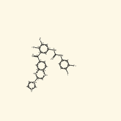 O=C(Nc1ccc(F)c(F)c1)Nc1cc(F)c(F)c(C(=O)c2ccc3ncc(-n4ccnc4)nc3c2)c1